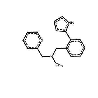 CN(Cc1ccccn1)Cc1ccccc1-c1ccc[nH]1